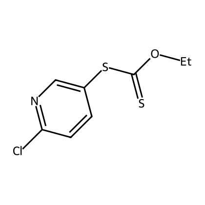 CCOC(=S)Sc1ccc(Cl)nc1